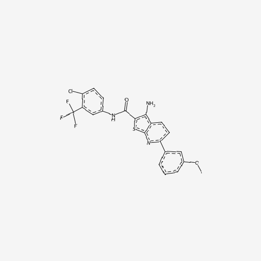 COc1cccc(-c2ccc3c(N)c(C(=O)Nc4ccc(Cl)c(C(F)(F)F)c4)sc3n2)c1